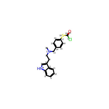 CN(CCc1c[nH]c2ccccc12)Cc1ccc(SC(=O)Cl)cc1